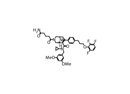 COc1cc(CN(C(=O)C2=C(c3ccc(CCCOc4c(F)ccc(F)c4F)cc3)CC3CN(C(=O)CCCC(N)=O)C[C@H]2N3)C2CC2)cc(OC)c1